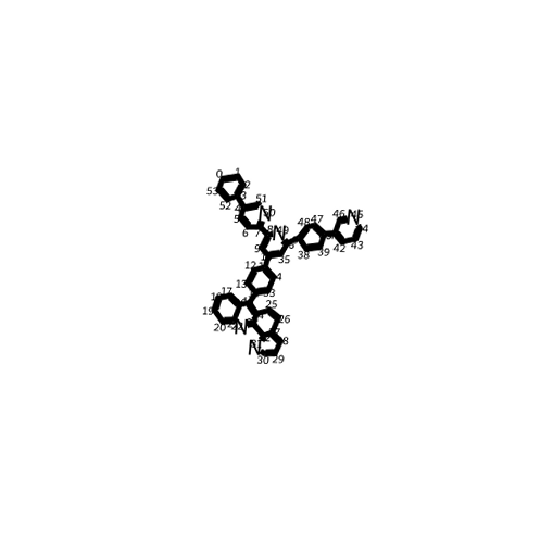 c1ccc(-c2ccc(-c3cc(-c4ccc(-c5c6ccccc6nc6c5ccc5cccnc56)cc4)cc(-c4ccc(-c5cccnc5)cc4)n3)nc2)cc1